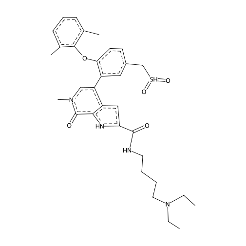 CCN(CC)CCCCNC(=O)c1cc2c(-c3cc(C[SH](=O)=O)ccc3Oc3c(C)cccc3C)cn(C)c(=O)c2[nH]1